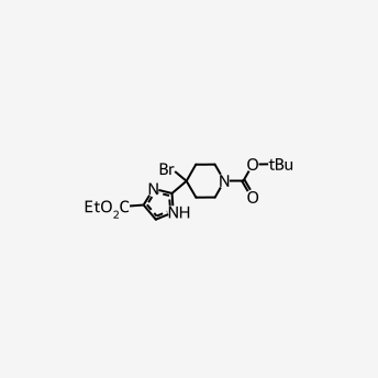 CCOC(=O)c1c[nH]c(C2(Br)CCN(C(=O)OC(C)(C)C)CC2)n1